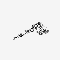 CCCCC12C[C@@H](CC1(C)CCCO[PH](O)(S)OC[C@@H]1CCCN1)C1(C)CC3CC45CCCCC4([C@@H]4CCCC(OP(=O)(S)OCCCCc6cn(CCCC=O)nn6)CC4)C[C@H]5C[C@]1(C3)C2